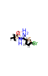 CC(C)(C)[S@@+]([O-])N[C@H](N)c1ccc(Br)s1